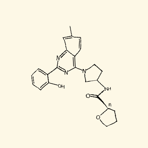 Cc1ccc2c(N3CCC(NC(=O)[C@H]4CCCO4)C3)nc(-c3ccccc3O)nc2c1